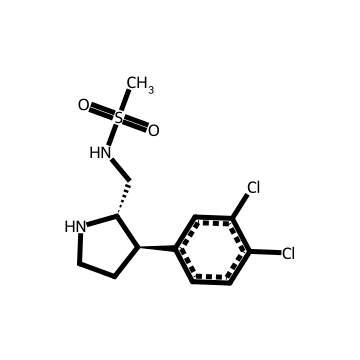 CS(=O)(=O)NC[C@H]1NCC[C@@H]1c1ccc(Cl)c(Cl)c1